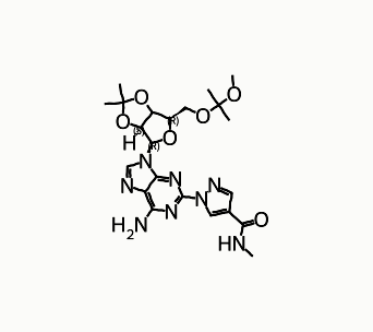 CNC(=O)c1cnn(-c2nc(N)c3ncn([C@@H]4O[C@H](COC(C)(C)OC)C5OC(C)(C)O[C@@H]54)c3n2)c1